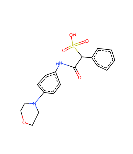 O=C(Nc1ccc(N2CCOCC2)cc1)C(c1ccccc1)S(=O)(=O)O